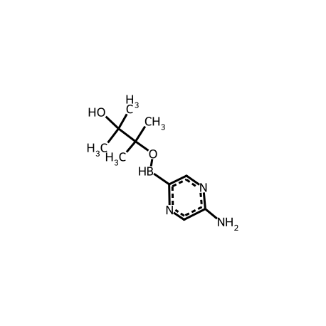 CC(C)(O)C(C)(C)OBc1cnc(N)cn1